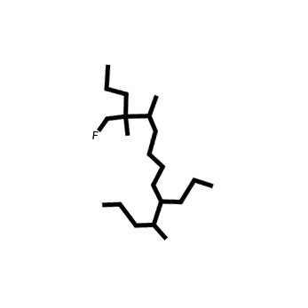 CCCC(C)C(CCC)CCCCC(C)C(C)(CF)CCC